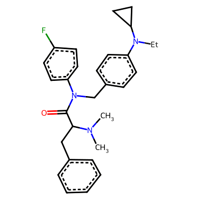 CCN(c1ccc(CN(C(=O)C(Cc2ccccc2)N(C)C)c2ccc(F)cc2)cc1)C1CC1